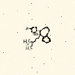 CN(C)CCC[C@]1(O)c2ccccc2CCC[C@H]1c1ccc(Br)cc1